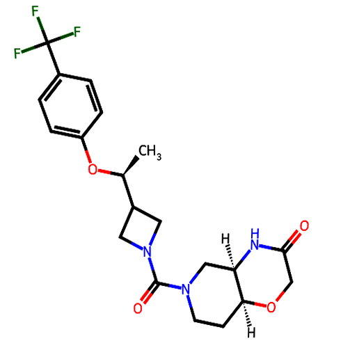 C[C@H](Oc1ccc(C(F)(F)F)cc1)C1CN(C(=O)N2CC[C@@H]3OCC(=O)N[C@@H]3C2)C1